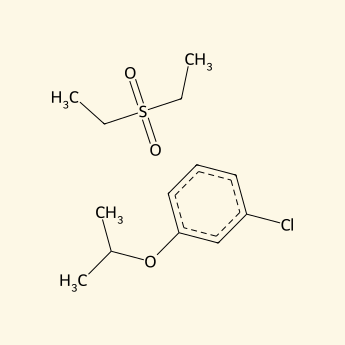 CC(C)Oc1cccc(Cl)c1.CCS(=O)(=O)CC